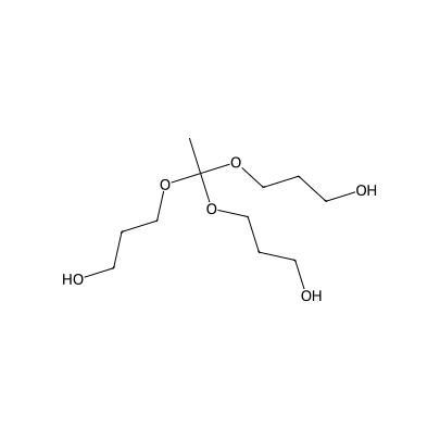 CC(OCCCO)(OCCCO)OCCCO